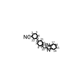 N#Cc1cccc(-c2ccc(Cc3nc4ccccc4[nH]3)cc2)c1